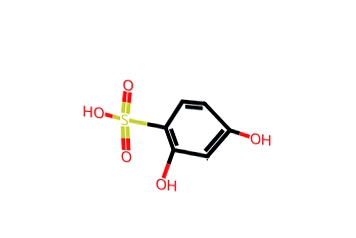 O=S(=O)(O)c1ccc(O)[c]c1O